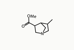 COC(=O)C1CN2CC(C)C1C2